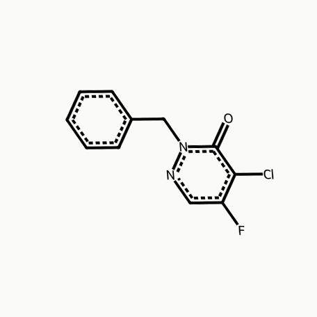 O=c1c(Cl)c(F)cnn1Cc1ccccc1